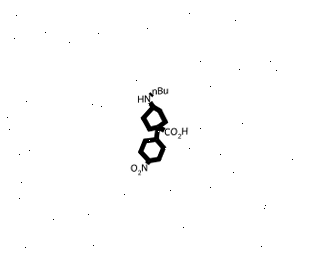 CCCCNC1CCC(C(=O)O)(C2CCC([N+](=O)[O-])CC2)CC1